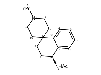 CCCN1CCC2(CC[C@H](NC(C)=O)c3ccccc32)CC1